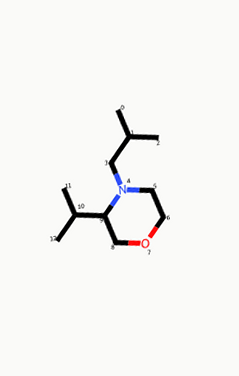 CC(C)CN1CCOCC1C(C)C